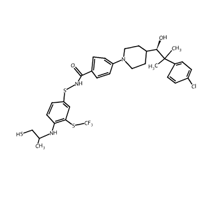 CC(CS)Nc1ccc(SNC(=O)c2ccc(N3CCC([C@@H](O)C(C)(C)c4ccc(Cl)cc4)CC3)cc2)cc1SC(F)(F)F